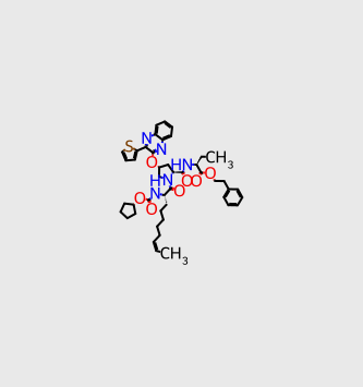 C/C=C\CCCCC[C@H](NC(=O)OC1CCCC1)C(=O)N1C[C@H](Oc2nc3ccccc3nc2-c2cccs2)C[C@H]1C(=O)N[C@@H](CC)C(=O)OCCc1ccccc1